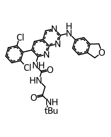 CC(C)(C)NC(=O)CNC(=O)Nc1nc2nc(Nc3ccc4c(c3)COC4)ncc2cc1-c1c(Cl)cccc1Cl